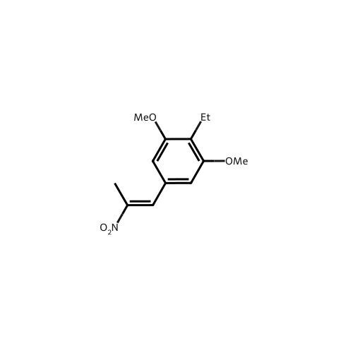 CCc1c(OC)cc(C=C(C)[N+](=O)[O-])cc1OC